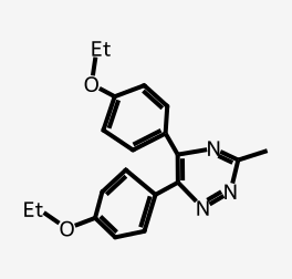 CCOc1ccc(-c2nnc(C)nc2-c2ccc(OCC)cc2)cc1